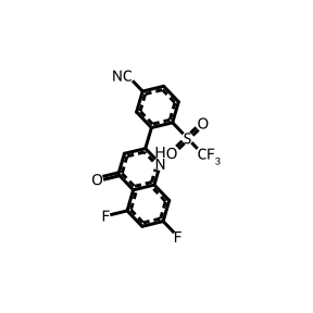 N#Cc1ccc(S(=O)(=O)C(F)(F)F)c(-c2cc(=O)c3c(F)cc(F)cc3[nH]2)c1